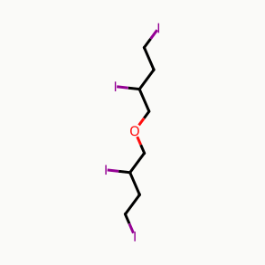 ICCC(I)COCC(I)CCI